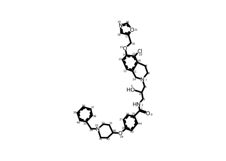 O=C(NCC(O)CN1CCc2c(ccc(OCc3cnco3)c2Cl)C1)c1ccc(OC2CCN(Cc3ccccc3)CC2)cc1